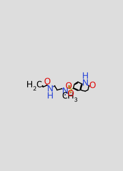 C=CC(=O)NCCCN(C)S(=O)(=O)c1ccc2c(c1)CCC(=O)N2